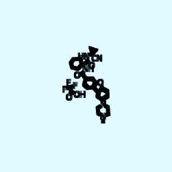 CN1CCN(c2ccc3oc4cc(C(=O)NC5(C(=O)NC6(C#N)CC6)CCCCC5)ccc4c3c2)CC1.O=C(O)C(F)(F)F